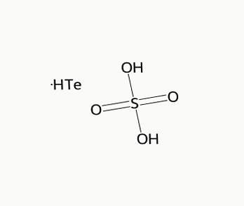 O=S(=O)(O)O.[TeH]